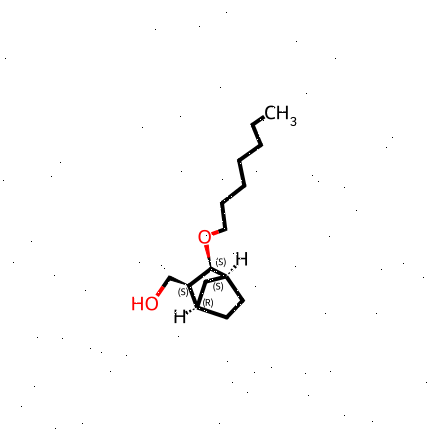 CCCCCCCO[C@H]1[C@H]2CC[C@H](C2)[C@H]1CO